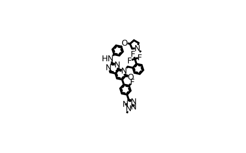 CN1CCC(Oc2ccc(Nc3ncc4cc(-c5ccc(-c6nnn(C)n6)cc5F)c(=O)n(Cc5ccccc5C(F)(F)F)c4n3)cc2)C1